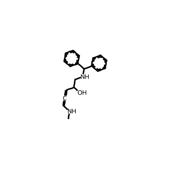 CNC=C=CC(O)CNC(c1ccccc1)c1ccccc1